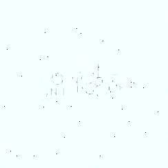 CC(C)[C@@H](C)NC(=O)c1c[nH]c2c(C(=O)NCc3ccc4c(c3)NC(=O)CO4)ncnc12